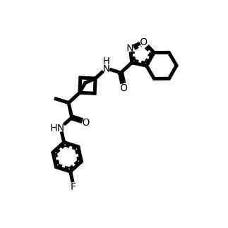 CC(C(=O)Nc1ccc(F)cc1)C12CC(NC(=O)c3noc4c3CCCC4)(C1)C2